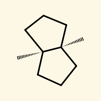 C[C@]12CCC[C@@]1(C)CCC2